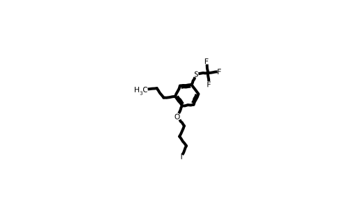 CCCc1cc(SC(F)(F)F)ccc1OCCCI